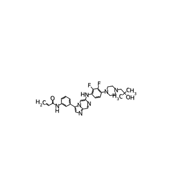 C=CC(=O)Nc1cccc(-c2cnc3cnc(Nc4ccc(N5CCN(CC(C)(C)O)CC5)c(F)c4F)cn23)c1